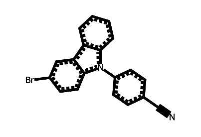 N#Cc1ccc(-n2c3ccccc3c3cc(Br)ccc32)cc1